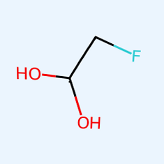 O[C](O)CF